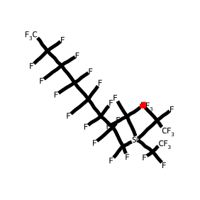 FC(F)(F)C(F)(F)C(F)(F)C(F)(F)C(F)(F)C(F)(F)C(F)(F)C(F)(F)[Si](C(F)(F)C(F)(F)F)(C(F)(F)C(F)(F)F)C(F)(F)C(F)(F)F